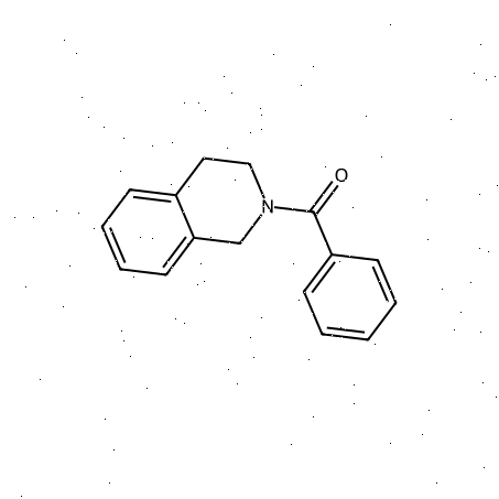 O=C(c1ccccc1)N1CCc2ccccc2C1